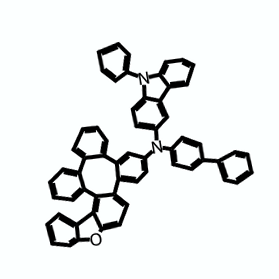 c1ccc(-c2ccc(N(c3ccc4c(c3)-c3ccccc3-c3ccccc3-c3c-4ccc4oc5ccccc5c34)c3ccc4c(c3)c3ccccc3n4-c3ccccc3)cc2)cc1